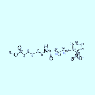 COC(=O)CCCCCNC(=O)/C=C/C=C/c1ccccc1[N+](=O)[O-]